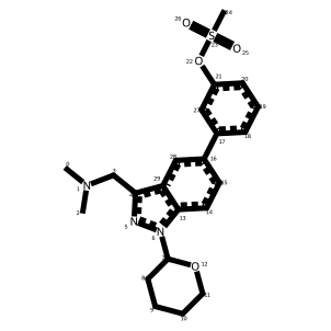 CN(C)Cc1nn(C2CCCCO2)c2ccc(-c3cccc(OS(C)(=O)=O)c3)cc12